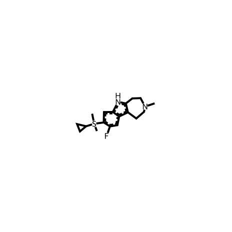 CN1CCc2[nH]c3cc(S(C)(C)C4CC4)c(F)cc3c2CC1